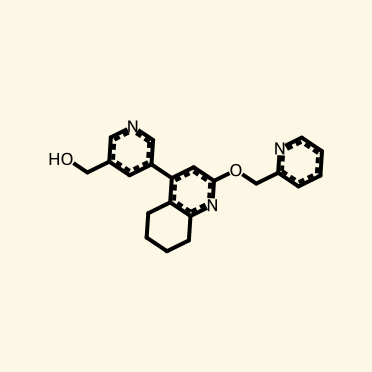 OCc1cncc(-c2cc(OCc3ccccn3)nc3c2CCCC3)c1